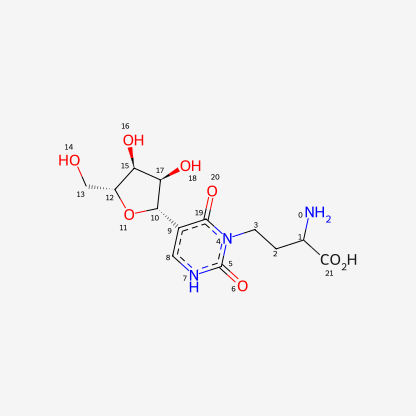 NC(CCn1c(=O)[nH]cc([C@@H]2O[C@H](CO)[C@@H](O)[C@H]2O)c1=O)C(=O)O